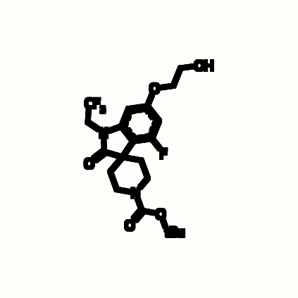 CC(C)(C)OC(=O)N1CCC2(CC1)C(=O)N(CC(F)(F)F)c1cc(OCCO)cc(F)c12